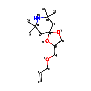 C=CCOCC1COC2(CC(C)(C)NC(C)(C)C2)O1